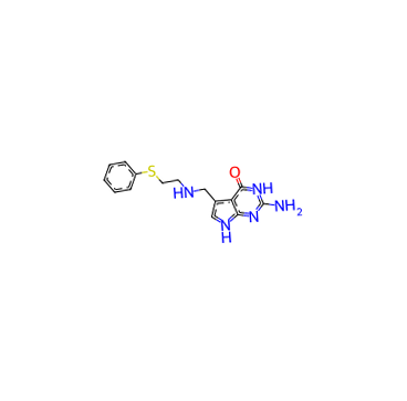 Nc1nc2[nH]cc(CNCCSc3ccccc3)c2c(=O)[nH]1